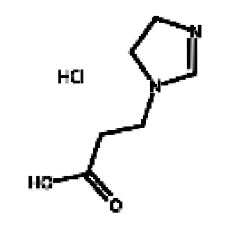 Cl.O=C(O)CCN1C=NCC1